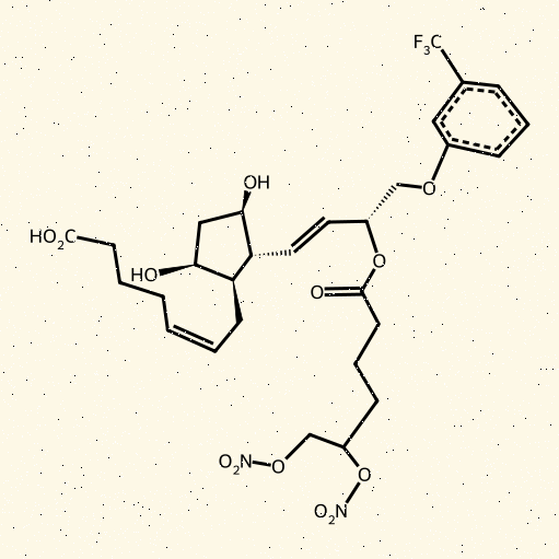 O=C(O)CCC/C=C\C[C@@H]1[C@@H](/C=C/[C@H](COc2cccc(C(F)(F)F)c2)OC(=O)CCCC(CO[N+](=O)[O-])O[N+](=O)[O-])[C@H](O)C[C@@H]1O